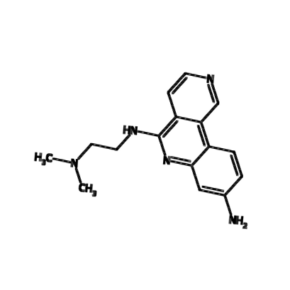 CN(C)CCNc1nc2cc(N)ccc2c2cnccc12